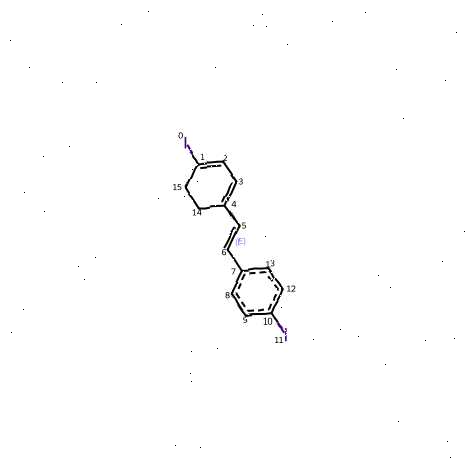 IC1=CC=C(/C=C/c2ccc(I)cc2)CC1